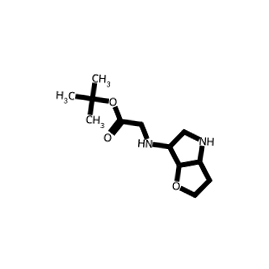 CC(C)(C)OC(=O)CNC1CNC2CCOC21